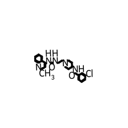 Cc1cc(NC(=O)NCCN2CCC(NC(=O)c3cccc(Cl)c3)CC2)c2ccccc2n1